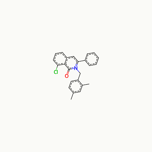 Cc1ccc(Cn2c(-c3ccccc3)cc3cccc(Cl)c3c2=O)c(C)c1